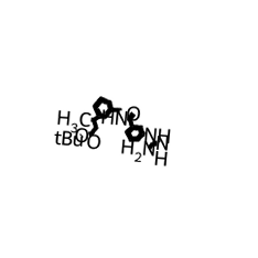 CC(CC(=O)OC(C)(C)C)c1cccc(CNC(=O)c2cccc(NC(=N)N)c2)c1